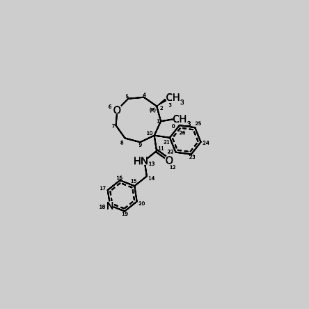 CC1[C@H](C)CCOCCCC1(C(=O)NCc1ccncc1)c1ccccc1